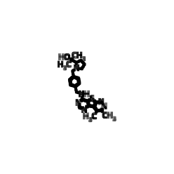 Cc1nnc2sc3c(NCc4ccc(CN5CCCC5C(C)(C)O)cc4)ncnc3c2c1C